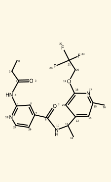 CCC(=O)Nc1cc(C(=O)NC(C)c2cc(C)nc(OCC(F)(F)F)c2)ccn1